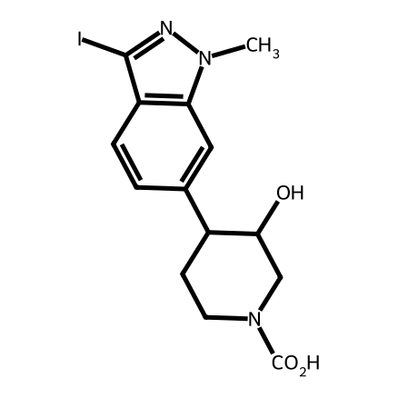 Cn1nc(I)c2ccc(C3CCN(C(=O)O)CC3O)cc21